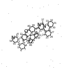 Cc1cc(-c2ccccc2-c2ccc3c(c2)C2(c4cc(-c5cc(-c6ccccc6-c6ccccc6)nc(C)n5)ccc4O3)c3ccccc3-c3ccccc32)ccn1